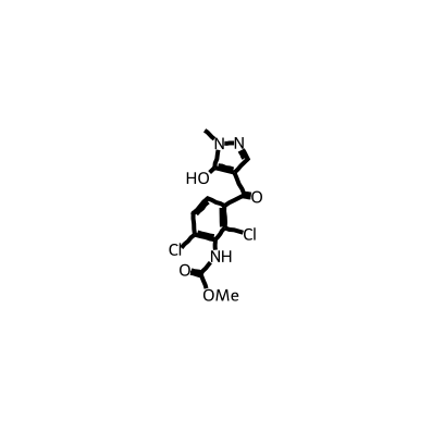 COC(=O)Nc1c(Cl)ccc(C(=O)c2cnn(C)c2O)c1Cl